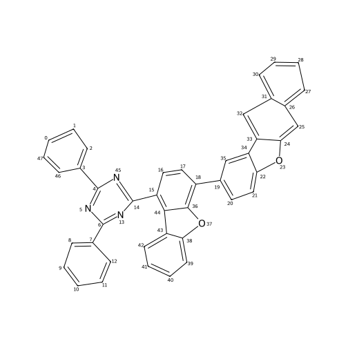 c1ccc(-c2nc(-c3ccccc3)nc(-c3ccc(-c4ccc5oc6cc7ccccc7cc6c5c4)c4oc5ccccc5c34)n2)cc1